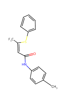 Cc1ccc(NC(=O)/C=C(\Sc2ccccc2)C(F)(F)F)cc1